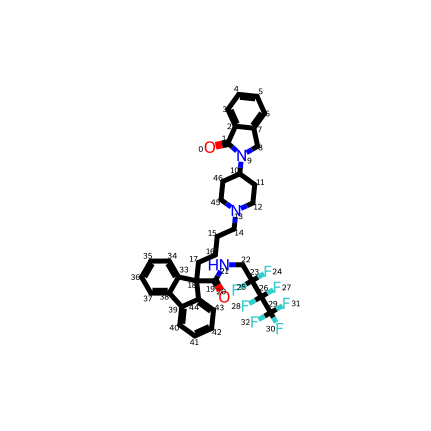 O=C1c2ccccc2CN1C1CCN(CCCCC2(C(=O)NCC(F)(F)C(F)(F)C(F)(F)F)c3ccccc3-c3ccccc32)CC1